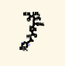 C/C=C\C(=C/C)C1CC1NC(=O)c1csc([C@@H](C[C@H](C(C)C)N(C)C(=O)CCCC)OC(C)=O)n1